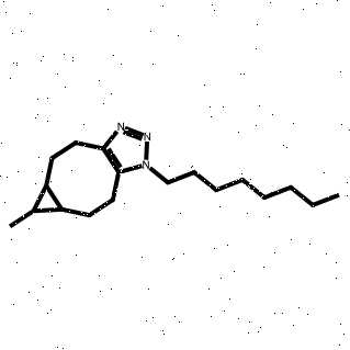 CCCCCCCCn1nnc2c1CCC1C(C)C1CC2